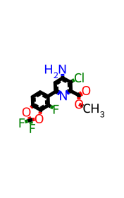 COC(=O)c1nc(-c2ccc3c(c2F)OC(F)(F)O3)cc(N)c1Cl